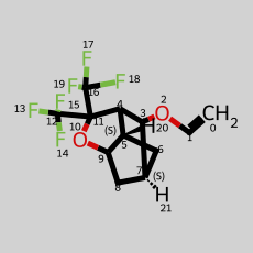 C=COC1C2[C@@H]3C[C@H]1CC3OC2(C(F)(F)F)C(F)(F)F